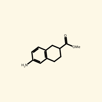 COC(=O)C1CCc2cc(N)ccc2C1